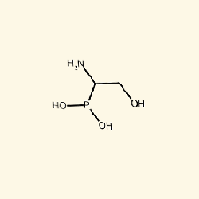 NC(CO)P(O)O